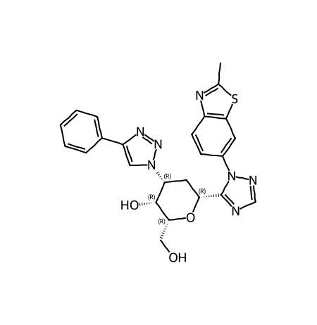 Cc1nc2ccc(-n3ncnc3[C@H]3C[C@@H](n4cc(-c5ccccc5)nn4)[C@@H](O)[C@@H](CO)O3)cc2s1